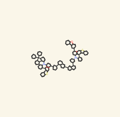 c1ccc(C2(c3ccccc3)c3ccccc3-c3c(N(c4ccc(-c5cccc(-c6cccc7cc(-c8ccc9cccc(-c%10cccc(N(c%11ccc(-c%12ccc%13oc%14ccccc%14c%13c%12)cc%11)c%11ccccc%11-c%11cccc%12sc%13ccccc%13c%11%12)c%10)c9c8)ccc67)c5)cc4)c4ccccc4-c4cccc5sc6ccccc6c45)cccc32)cc1